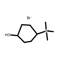 C[N+](C)(C)C1CCC(O)CC1.[Br-]